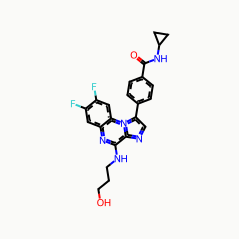 O=C(NC1CC1)c1ccc(-c2cnc3c(NCCCO)nc4cc(F)c(F)cc4n23)cc1